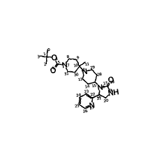 CC(C)(C)OC(=O)N1CCC(C)(N2CCC(N3C(=O)NC[C@H]3c3ccccn3)CC2)CC1